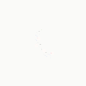 C=C1/C(=C\C=C(/C)Oc2ccnc3c2CCC(=O)N3)O[C@@H]2[C@@H](NC(=O)Nc3ccc(C(F)(F)F)cc3F)[C@H]12